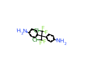 Nc1ccc(C(c2ccc(N)cc2)(C(F)(F)Cl)C(F)(F)Cl)cc1